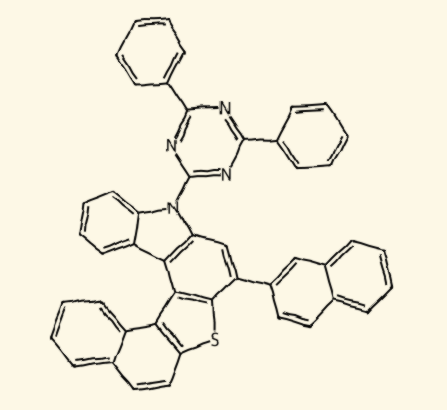 c1ccc(-c2nc(-c3ccccc3)nc(-n3c4ccccc4c4c5c(sc6ccc7ccccc7c65)c(-c5ccc6ccccc6c5)cc43)n2)cc1